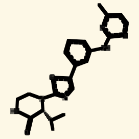 Cc1ccnc(Nc2cccc(-c3cnc(N4CCNC(=O)[C@H]4C(C)C)o3)c2)n1